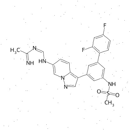 CC(=N)/N=C\Nc1ccc2c(-c3cc(NS(C)(=O)=O)cc(-c4ccc(F)cc4F)c3)cnn2c1